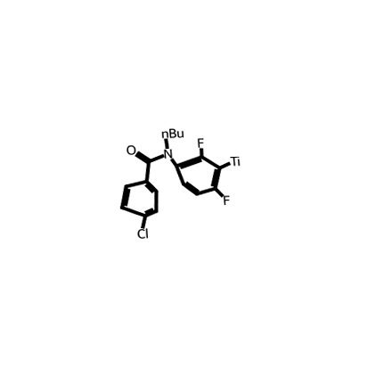 CCCCN(C(=O)c1ccc(Cl)cc1)c1ccc(F)[c]([Ti])c1F